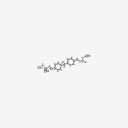 C[C@H](CO)COc1ccc(C(C)(C)c2ccc(OC[C@H](O)CCl)cc2)cc1